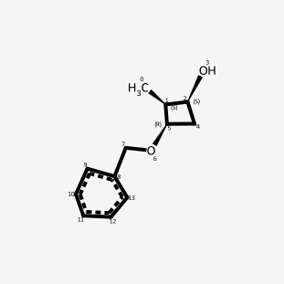 C[C@H]1[C@@H](O)C[C@H]1OCc1ccccc1